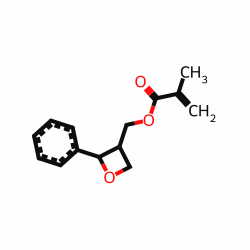 C=C(C)C(=O)OCC1COC1c1ccccc1